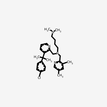 Cc1cnc(CN(CCCCN(C)C)Cc2ncccc2C(C)(C)c2ccc(Cl)cc2)c(C)c1